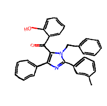 Cc1cccc(-c2nc(-c3ccccc3)c(C(=O)c3ccccc3O)n2Cc2ccccc2)c1